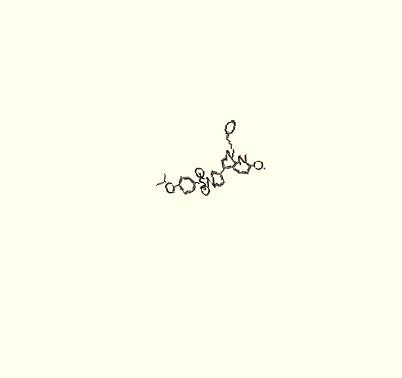 COc1ccc2c(-c3ccn(S(=O)(=O)c4ccc(OC(C)C)cc4)c3)cn(CC=O)c2n1